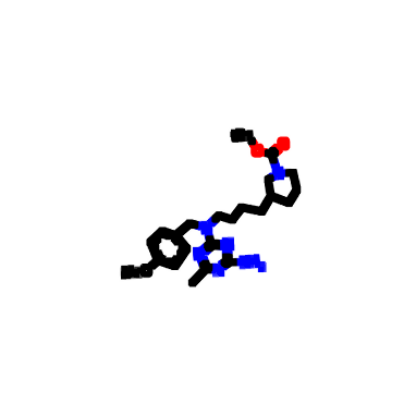 COc1ccc(CN(CCCCC2CCCN(C(=O)OC(C)(C)C)C2)c2nc(C)nc(N)n2)cc1